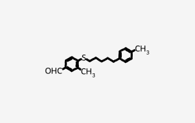 Cc1ccc(CCCCCSc2ccc(C=O)cc2C)cc1